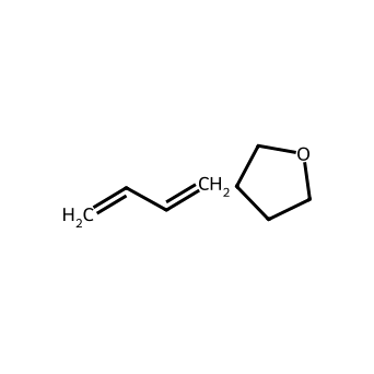 C1CCOC1.C=CC=C